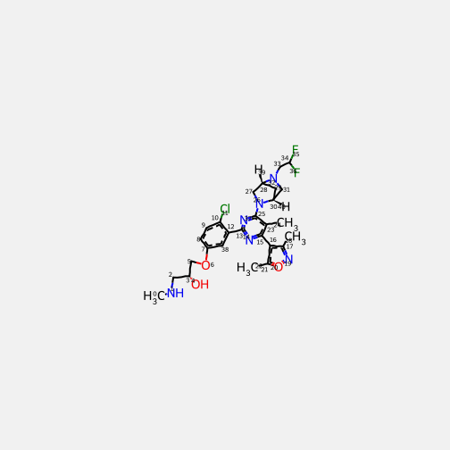 CNC[C@@H](O)COc1ccc(Cl)c(-c2nc(-c3c(C)noc3C)c(C)c(N3C[C@H]4C[C@@H]3CN4CC(F)F)n2)c1